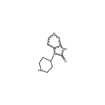 O=c1[nH]c2nnccc2n1C1CCNCC1